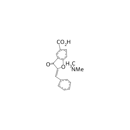 CNC.O=C(O)c1ccc2c(c1)C(=O)C(=Cc1ccccc1)O2